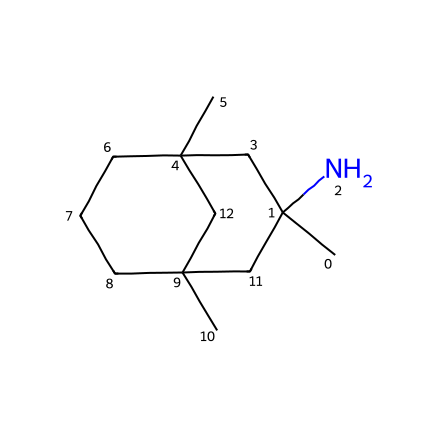 CC1(N)CC2(C)CCCC(C)(C1)C2